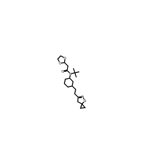 CC(C)(C)N(C(=O)CC1OCCO1)C1CCCC(CCC2=NOC3(CC3)C2)C1